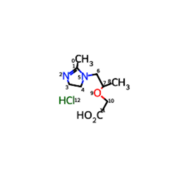 CC1=NCCN1CC(C)OCC(=O)O.Cl